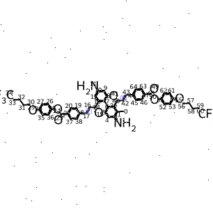 Cc1c(N)ccc(-c2ccc(N)cc2C(=O)/C=C/c2ccc(C(=O)Oc3ccc(OCCCCC(F)(F)F)cc3)cc2)c1C(=O)/C=C/c1ccc(C(=O)Oc2ccc(OCCCCC(F)(F)F)cc2)cc1